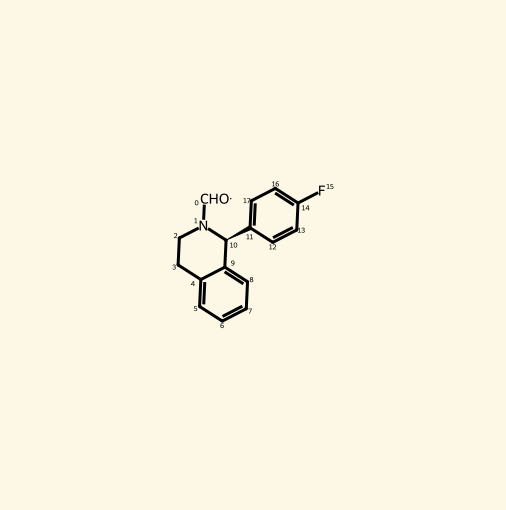 O=[C]N1CCc2ccccc2[C@@H]1c1ccc(F)cc1